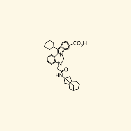 O=C(CN1CCn2c(c(C3CCCCC3)c3ccc(C(=O)O)cc32)-c2ccccc21)NC12CC3CCCC(C1)C(C3)C2